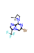 C[C@H]1CCN1c1nc(Br)cn2c(C(F)(F)F)cnc12